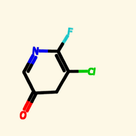 O=C1C=NC(F)=C(Cl)C1